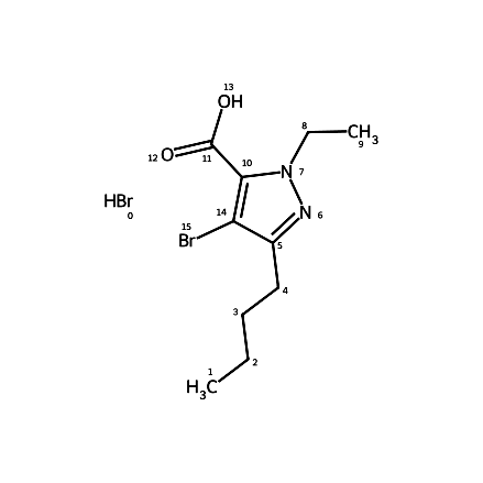 Br.CCCCc1nn(CC)c(C(=O)O)c1Br